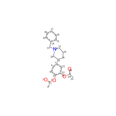 CC(=O)Oc1ccc(C2CCCN(Cc3ccccc3)C2)cc1OC(C)=O